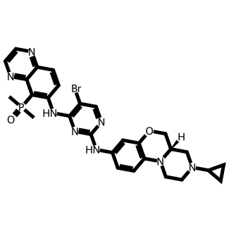 CP(C)(=O)c1c(Nc2nc(Nc3ccc4c(c3)OC[C@@H]3CN(C5CC5)CCN43)ncc2Br)ccc2nccnc12